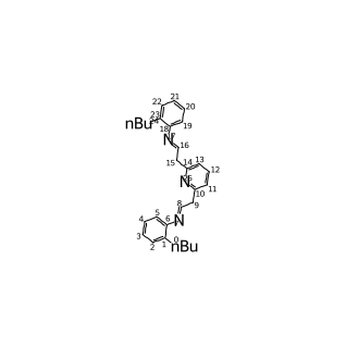 CCCCc1ccccc1N=CCc1cccc(CC=Nc2ccccc2CCCC)n1